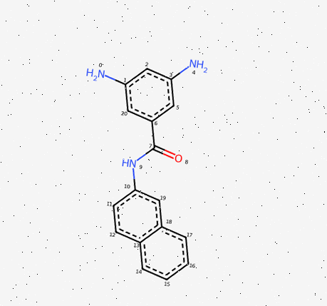 Nc1cc(N)cc(C(=O)Nc2ccc3ccccc3c2)c1